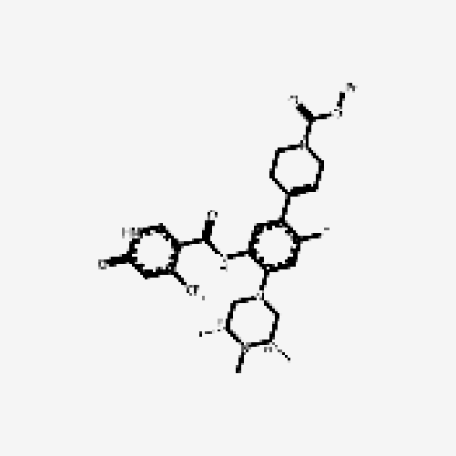 CC(C)OC(=O)N1CC=C(c2cc(NC(=O)c3c[nH]c(=O)cc3C(F)(F)F)c(N3C[C@@H](C)N(C)[C@@H](C)C3)cc2F)CC1